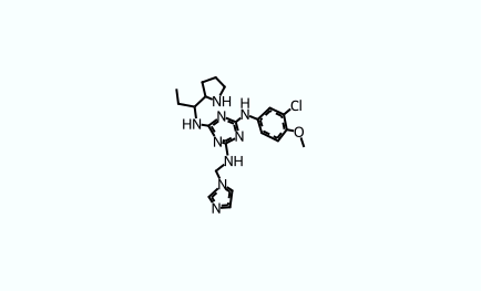 CCC(Nc1nc(NCn2ccnc2)nc(Nc2ccc(OC)c(Cl)c2)n1)C1CCCN1